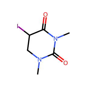 CN1CC(I)C(=O)N(C)C1=O